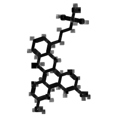 Cc1cnc2c3c(c4ncc(C)nc4c2n1)Sc1c(CCCS(=O)(=O)O)cccc1N3